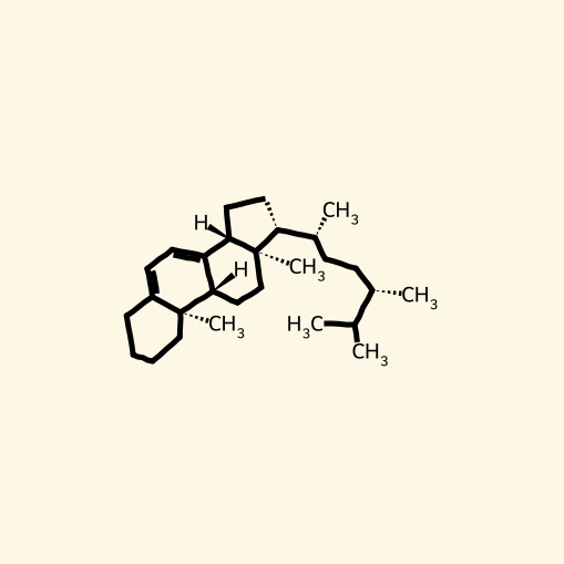 CC(C)[C@@H](C)CC[C@@H](C)[C@H]1CC[C@H]2C3=CC=C4CCCC[C@]4(C)[C@H]3CC[C@]12C